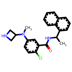 CC(NC(=O)c1cc(N(C)C2CNC2)ccc1Cl)c1cccc2ccccc12